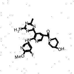 COc1ncc(Nc2ncc(C(=O)N3CCC(O)CC3)cc2-c2nc(C)nc(N)n2)cc1F